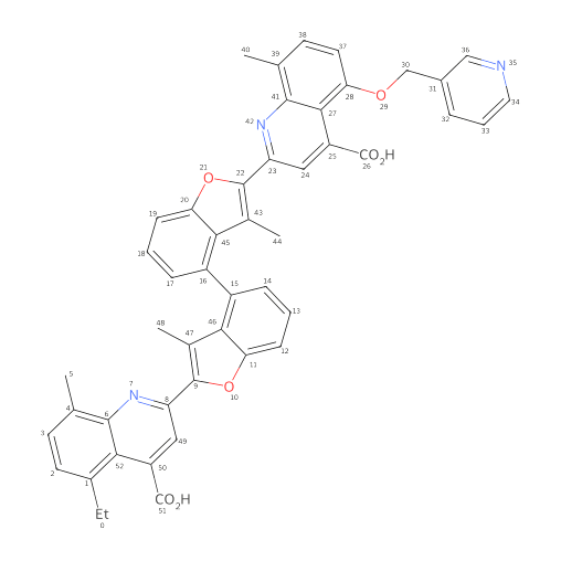 CCc1ccc(C)c2nc(-c3oc4cccc(-c5cccc6oc(-c7cc(C(=O)O)c8c(OCc9cccnc9)ccc(C)c8n7)c(C)c56)c4c3C)cc(C(=O)O)c12